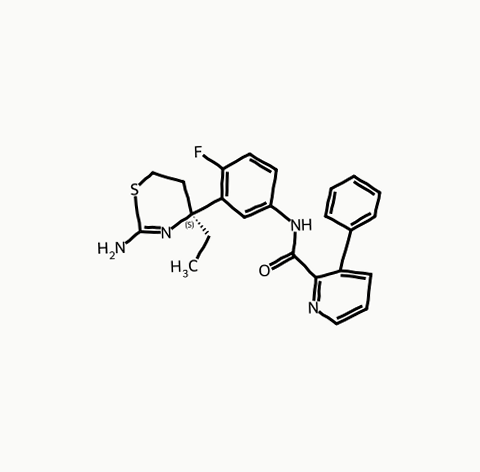 CC[C@@]1(c2cc(NC(=O)c3ncccc3-c3ccccc3)ccc2F)CCSC(N)=N1